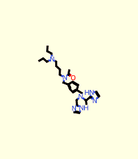 CCCN(CCC)CCCCN(Cc1ccc(CN(Cc2ncc[nH]2)C(C)c2ncc[nH]2)cc1)C(C)=O